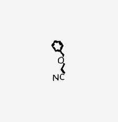 N#CC=CCOCc1ccccc1